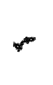 O=C(CN1C(=O)NC2(CCC(F)(F)CC2)C1=O)c1ccc(-c2ccncc2C(F)(F)F)cc1